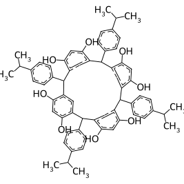 CC(C)c1ccc(C2c3cc(c(O)cc3O)C(c3ccc(C(C)C)cc3)c3cc(c(O)cc3O)C(c3ccc(C(C)C)cc3)c3cc(c(O)cc3O)C(c3ccc(C(C)C)cc3)c3cc2c(O)cc3O)cc1